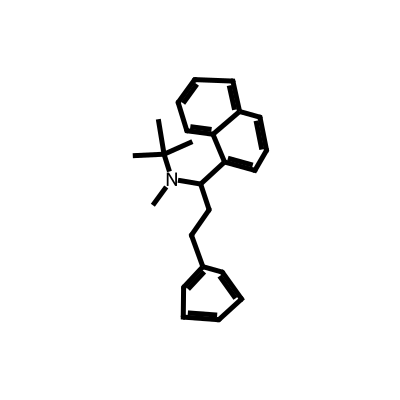 CN(C(CCc1ccccc1)c1cccc2ccccc12)C(C)(C)C